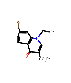 CCOC(=O)c1cn(CC(C)C)c2cc(Br)ccc2c1=O